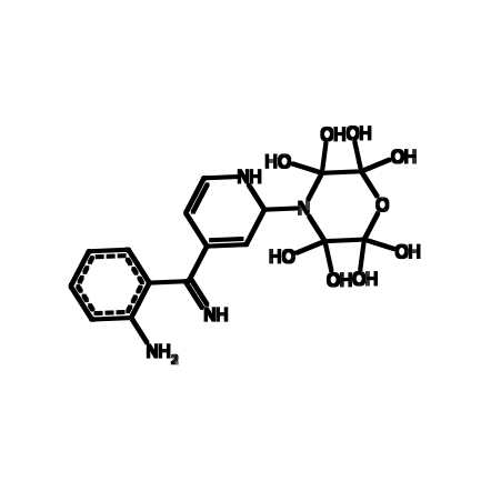 N=C(C1=CC(N2C(O)(O)C(O)(O)OC(O)(O)C2(O)O)NC=C1)c1ccccc1N